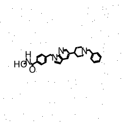 O=C(NO)c1ccc(Cn2ccc3cc(C4CCN(Cc5ccccc5)CC4)cnc32)cc1